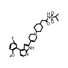 COc1ccc(F)cc1-c1ccnc2[nH]c(C3=CCN(C4CCC(CC(=O)NS(=O)(=O)C(C)C)CC4)CC3)cc12